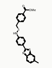 COC(=O)c1ccc(CSNc2ccc(-c3nc4ccc(C)cc4s3)cc2)cc1